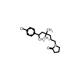 CC(CC(C)(C)CCCN1CCCC1=O)c1ccc(Cl)cc1